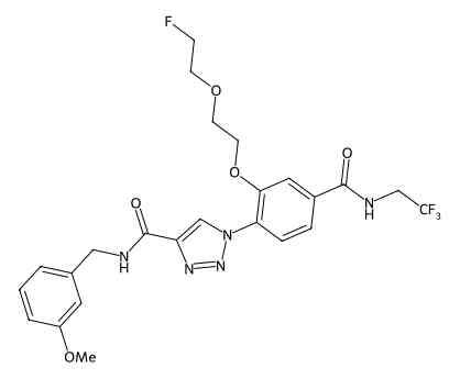 COc1cccc(CNC(=O)c2cn(-c3ccc(C(=O)NCC(F)(F)F)cc3OCCOCCF)nn2)c1